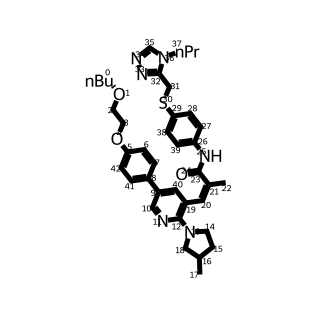 CCCCOCCOc1ccc(-c2cnc(N3CCC(C)C3)c(C=C(C)C(=O)Nc3ccc(SCc4nncn4CCC)cc3)c2)cc1